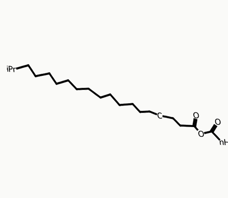 CCCCCCCC(=O)OC(=O)CCCCCCCCCCCCCCCCC(C)C